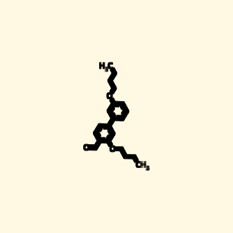 CCCCOc1cccc(-c2ccc(C=O)c(OCCCC)c2)c1